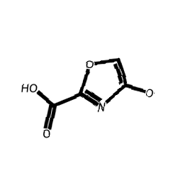 [O]c1coc(C(=O)O)n1